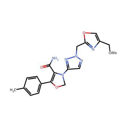 COCc1coc(Cn2ncc(N3COC(c4ccc(C)cc4)=C3C(N)=O)n2)n1